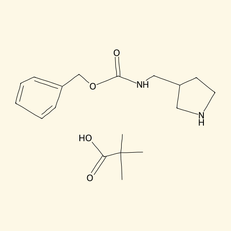 CC(C)(C)C(=O)O.O=C(NCC1CCNC1)OCc1ccccc1